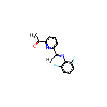 CC(=O)c1cccc(C(C)=Nc2c(F)cccc2F)n1